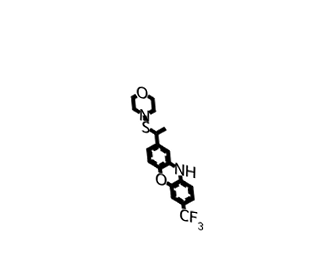 CC(SN1CCOCC1)c1ccc2c(c1)Nc1ccc(C(F)(F)F)cc1O2